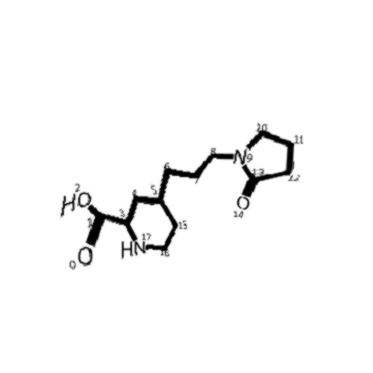 O=C(O)C1CC(CCCN2CCCC2=O)CCN1